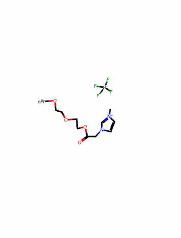 CCCOCCOCCOC(=O)Cn1cc[n+](C)c1.F[B-](F)(F)F